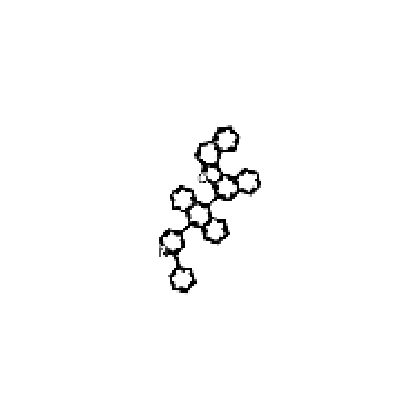 c1ccc(-c2cc(-c3c4ccccc4c(-c4cc5ccccc5c5c4oc4ccc6ccccc6c45)c4ccccc34)ccn2)cc1